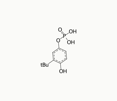 CC(C)(C)c1cc(OP(=O)(O)O)ccc1O